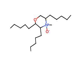 CCCCCC1OCC(CCCCC)[N+](C)([O-])C1CCCCC